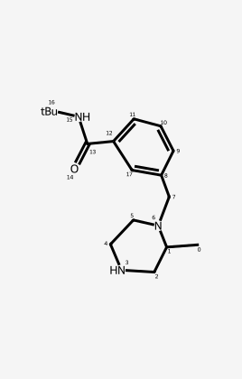 CC1CNCCN1Cc1cccc(C(=O)NC(C)(C)C)c1